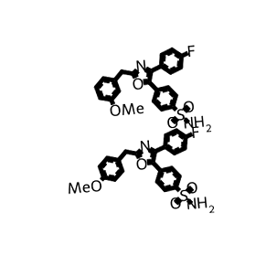 COc1ccc(Cc2nc(-c3ccc(F)cc3)c(-c3ccc(S(N)(=O)=O)cc3)o2)cc1.COc1cccc(Cc2nc(-c3ccc(F)cc3)c(-c3ccc(S(N)(=O)=O)cc3)o2)c1